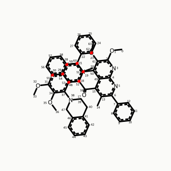 COc1nc2nc(-c3ccccc3)c(C)c(C(=O)c3c(C)c(-c4ccccc4)nc4nc(OC)c(OC)c(N5CCc6ccccc6C5)c34)c2c(N2CCc3ccccc3C2)c1OC